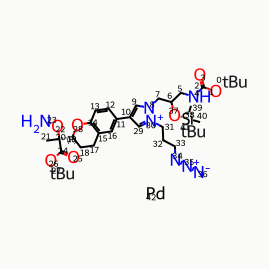 CC(C)(C)OC(=O)NCC(Cn1cc(-c2ccc3c(c2)CC[C@H](C(C)(ON)C(=O)OC(C)(C)C)O3)c[n+]1CCCN=[N+]=[N-])O[Si](C)(C)C(C)(C)C.[Pd]